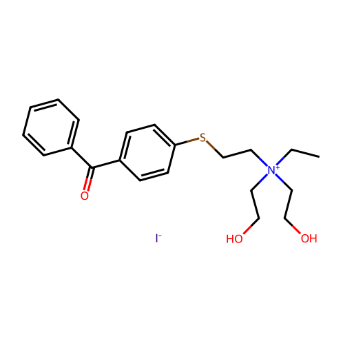 CC[N+](CCO)(CCO)CCSc1ccc(C(=O)c2ccccc2)cc1.[I-]